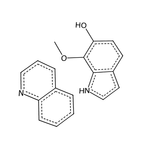 COc1c(O)ccc2cc[nH]c12.c1ccc2ncccc2c1